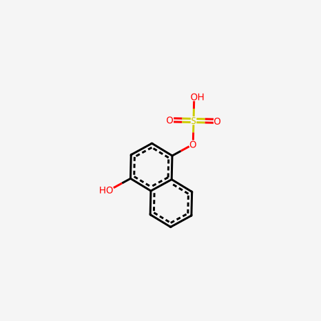 O=S(=O)(O)Oc1ccc(O)c2ccccc12